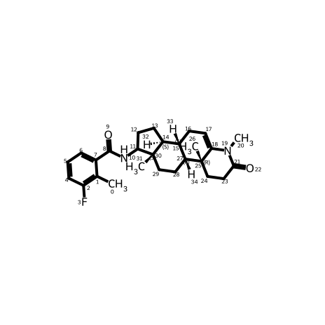 Cc1c(F)cccc1C(=O)NC1CC[C@H]2[C@@H]3CC=C4N(C)C(=O)CC[C@]4(C)[C@@H]3CC[C@]12C